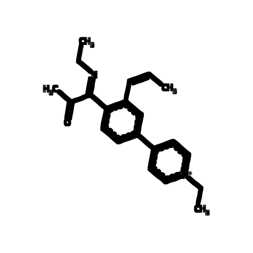 C/C=C\c1cc(-c2cc[n+](CC)cc2)ccc1/C(=N/CC)C(C)=O